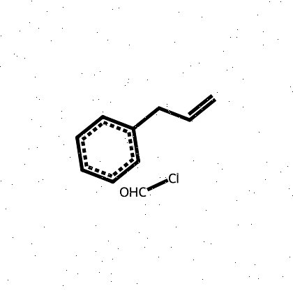 C=CCc1ccccc1.O=CCl